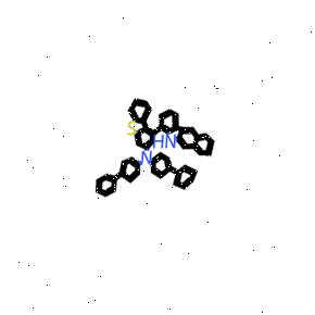 c1ccc(-c2ccc(N(c3ccc(-c4ccccc4)cc3)c3cc(-c4cccc5c4[nH]c4cc6ccccc6cc45)c4c(c3)sc3ccccc34)cc2)cc1